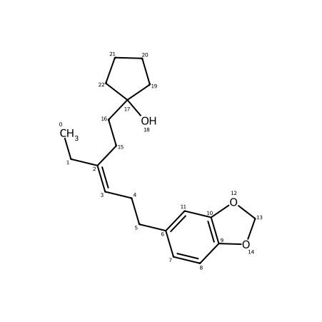 CCC(=CCCc1ccc2c(c1)OCO2)CCC1(O)CCCC1